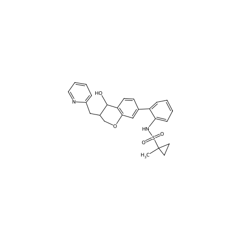 CC1(S(=O)(=O)Nc2ccccc2-c2ccc3c(c2)OCC(Cc2ccccn2)C3O)CC1